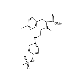 COC(=O)C(Cc1ccc(C)cc1)N(C)CCOc1ccc(NS(C)(=O)=O)cc1